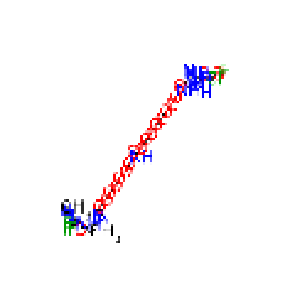 Cc1ccc(C(=O)Nc2ccc(CN3CCN(C)CC3)c(C(F)(F)F)c2)cc1C#Cc1cnc2cc(OCCOCCOCCOCCOCCOCCOCCNC(=O)CCOCCOCCOCCOCCOCCOCCOCCOCCNC(=O)C3CCN(c4ncc(C(=O)Nc5ccc(OC(F)(F)Cl)cc5)cc4-c4ccn[nH]4)CC3)ccn12